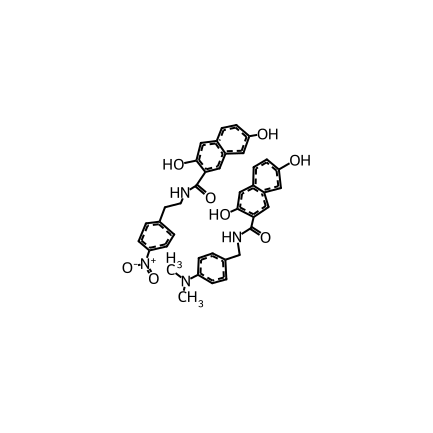 CN(C)c1ccc(CNC(=O)c2cc3cc(O)ccc3cc2O)cc1.O=C(NCCc1ccc([N+](=O)[O-])cc1)c1cc2cc(O)ccc2cc1O